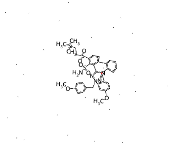 COc1ccc(Cc2ccccc2-c2ccc(S(=O)(=O)CC[Si](C)(C)C)c(S(N)(=O)=O)c2-c2nnn(Cc3ccc(OC)cc3)n2)cc1